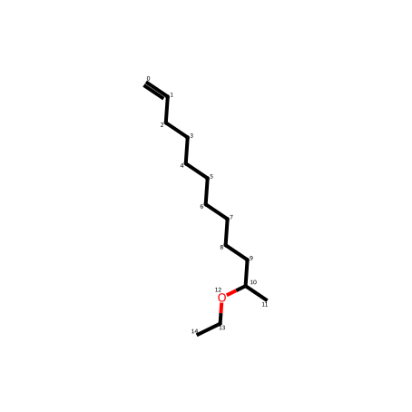 C=CCCCCCCCCC(C)OCC